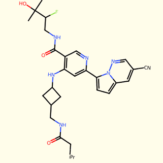 CC(C)CC(=O)NCC1CC(Nc2cc(-c3ccc4cc(C#N)cnn34)ncc2C(=O)NCC(F)C(C)(C)O)C1